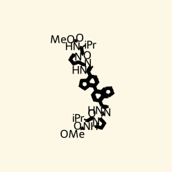 COC(=O)N[C@H](C(=O)N1CCCC1c1ncc(-c2ccc(-c3ccc(-c4cnc([C@@H]5CCCN5C(=O)[C@@H](NC(=O)OC)C(C)C)[nH]4)c4c3C3CCC4C3)c3c2CCC3)[nH]1)C(C)C